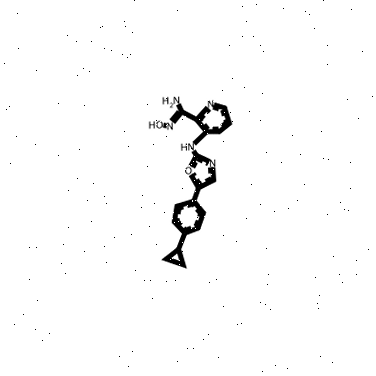 NC(=NO)c1ncccc1Nc1ncc(-c2ccc(C3CC3)cc2)o1